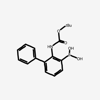 CC(C)(C)OC(=O)Nc1c(B(O)O)cccc1-c1ccccc1